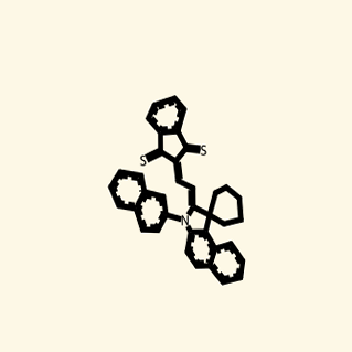 S=C1C(=C/C=C2\N(c3ccc4ccccc4c3)c3ccc4ccccc4c3C23CCCCC3)C(=S)c2ccccc21